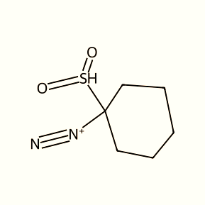 N#[N+]C1([SH](=O)=O)CCCCC1